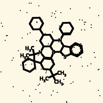 CC(C)(C)C1CC2=C3C(C1)C1(CCCCC1)C(C)(C)N3C1CC(C3CCCCC3)CC3C1B2C1Sc2ccccc2C1N3C1=CCCCC1